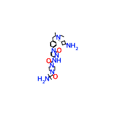 CCN(C[C@H]1C[C@H](N)C1)C(C)Cc1ccc(-n2ccc(NC(=O)N3CCN(C(=O)C(C)(C)N)CC3)nc2=O)cc1